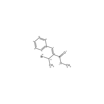 COC(=O)C(=Cc1ccccc1)C(C)Br